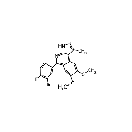 COc1cc2c(-c3ccc(F)c(Br)c3)nc3[nH]nc(C)c3c2cc1OC